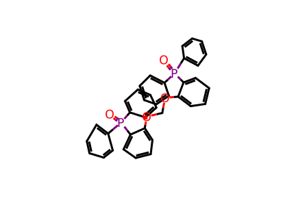 O=P(c1ccccc1)(c1ccccc1)c1ccccc1OCOc1ccccc1P(=O)(c1ccccc1)c1ccccc1